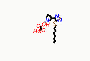 C=CCCCCCCSc1nsnc1C1=CCCN(C)C1.O=C(O)C(=O)O